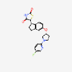 O=C1NC(=O)C([C@@H]2CCc3cc(O[C@@H]4CCN(c5ccc(F)cn5)C4)ccc32)S1